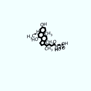 CC[C@H]1[C@@H](O)C2C3CCC([C@H](C)CCC(=O)NCP(=O)(O)O)[C@@]3(C)CCC2[C@@]2(C)CC[C@@H](O)C[C@@H]12